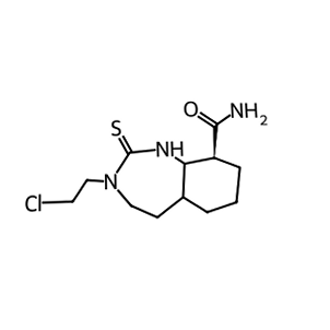 NC(=O)[C@H]1CCCC2CCN(CCCl)C(=S)NC21